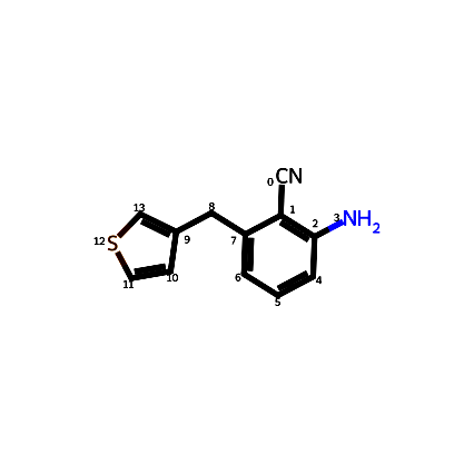 N#Cc1c(N)cccc1Cc1ccsc1